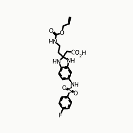 C=CCOC(=O)NCCC1(CC(=O)O)Nc2ccc(NS(=O)(=O)c3ccc(F)cc3)cc2N1